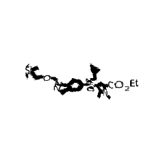 CCOC(=O)c1cc(S(=O)(=NCC2CC2)c2ccc3c(cnn3COCC[Si](C)(C)C)c2)c(C)n1C